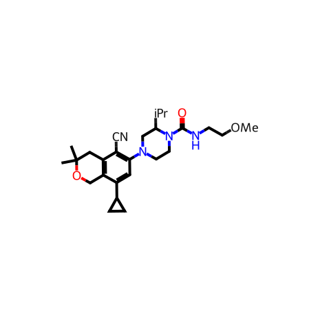 COCCNC(=O)N1CCN(c2cc(C3CC3)c3c(c2C#N)CC(C)(C)OC3)CC1C(C)C